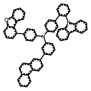 c1cc(-c2ccc3c(ccc4ccccc43)c2)cc(N(c2ccc(-c3ccccc3-n3c4ccccc4c4ccccc43)cc2)c2ccc(-c3cccc4oc5ccccc5c34)cc2)c1